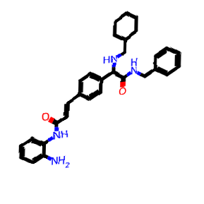 Nc1ccccc1NC(=O)C=Cc1ccc(C(NCC2CCCCC2)C(=O)NCc2ccccc2)cc1